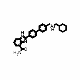 NC(=O)c1cccc2[nH]c(-c3ccc(-c4ccc(C[AsH]CC5CCCCC5)cc4)cc3)nc12